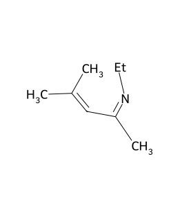 CC/N=C(/C)C=C(C)C